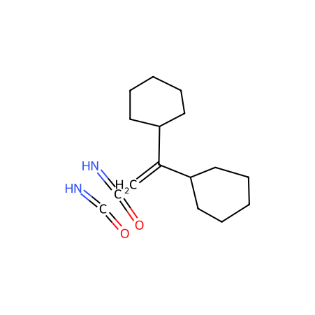 C=C(C1CCCCC1)C1CCCCC1.N=C=O.N=C=O